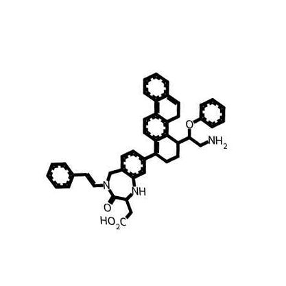 NCC(Oc1ccccc1)C1CCC(c2ccc3c(c2)NC(CC(=O)O)C(=O)N(C=Cc2ccccc2)C3)=c2ccc3c(c21)CC=c1ccccc1=3